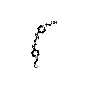 OCCn1ccc(=NN=CN=Nc2cc[n+](CCO)cc2)cc1